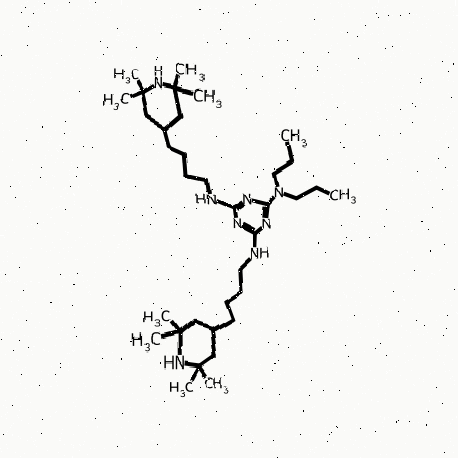 CCCN(CCC)c1nc(NCCCCC2CC(C)(C)NC(C)(C)C2)nc(NCCCCC2CC(C)(C)NC(C)(C)C2)n1